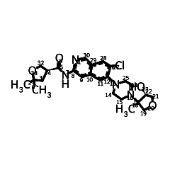 CC1(C)C[C@H](C(=O)Nc2cc3cc(N4CCN([C@@]5(C)COC[C@H]5O)CC4)c(Cl)cc3cn2)CO1